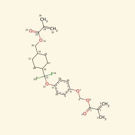 C=C(C)C(=O)OCOc1ccc(OC(F)(F)C2CCC(COC(=O)C(=C)C)CC2)cc1